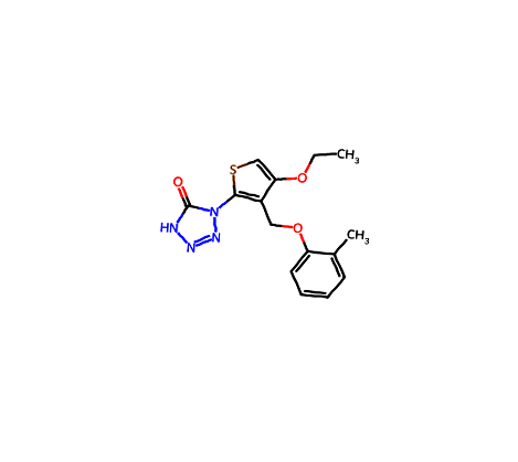 CCOc1csc(-n2nn[nH]c2=O)c1COc1ccccc1C